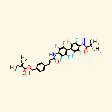 C=C(C)C(=O)Nc1c(F)c(F)c(-c2c(F)c(F)c(NC(=O)/C=C/c3ccc(COC(O)C(=C)C)cc3)c(F)c2F)c(F)c1F